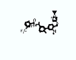 C=Nc1cc(-c2cc(C(C)NC(=O)c3cccc(C(F)(F)F)c3)ccc2C)ccc1/C=N\c1cnn(C2CC2)c1